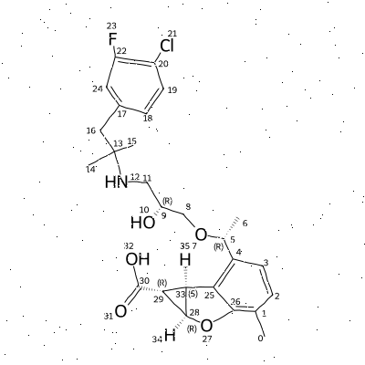 Cc1ccc([C@@H](C)OC[C@H](O)CNC(C)(C)Cc2ccc(Cl)c(F)c2)c2c1O[C@H]1[C@H](C(=O)O)[C@@H]21